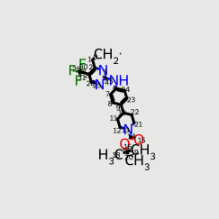 [CH2]Cc1nc(Nc2ccc(C3CCN(C(=O)OC(C)(C)C)CC3)cc2)ncc1C(F)(F)F